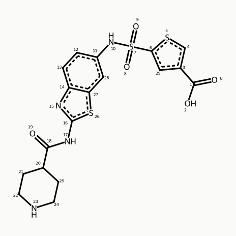 O=C(O)c1csc(S(=O)(=O)Nc2ccc3nc(NC(=O)C4CCNCC4)sc3c2)c1